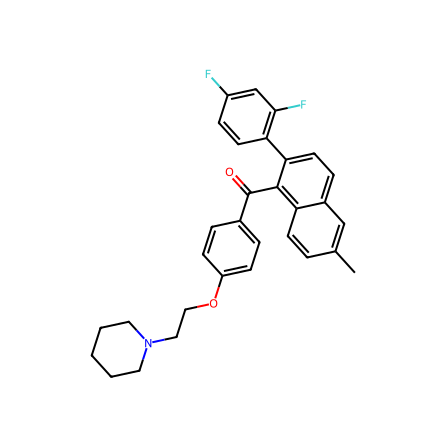 Cc1ccc2c(C(=O)c3ccc(OCCN4CCCCC4)cc3)c(-c3ccc(F)cc3F)ccc2c1